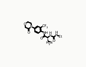 CCNC(=O)N[C@@H](CN)C(=O)Nc1ccc(N2CCOCC2=O)cc1C(F)(F)F